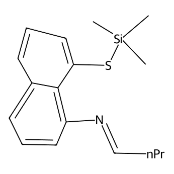 CCC/C=N/c1cccc2cccc(S[Si](C)(C)C)c12